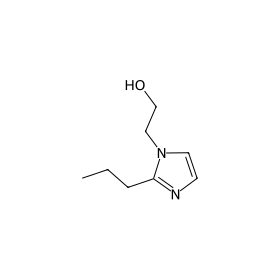 CCCc1nccn1CCO